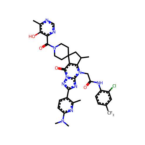 Cc1nc(N(C)C)ccc1-c1nc2n(CC(=O)Nc3ccc(C(F)(F)F)cc3Cl)c3c(c(=O)n2n1)C1(CCN(C(=O)c2ncnc(C)c2O)CC1)CC3C